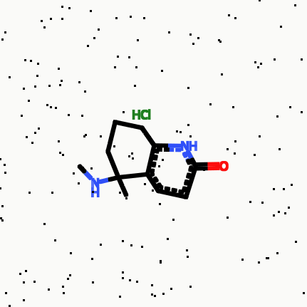 CNC1(C)CCCc2[nH]c(=O)ccc21.Cl